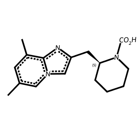 Cc1cc(C)c2nc(C[C@@H]3CCCCN3C(=O)O)cn2c1